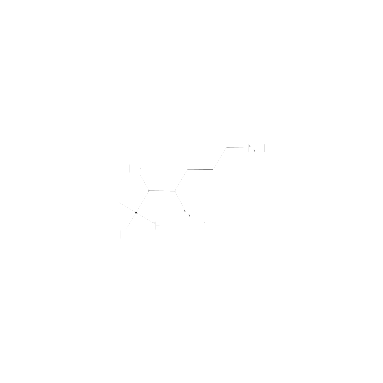 NCCCC(N)C(O)C(F)(F)F